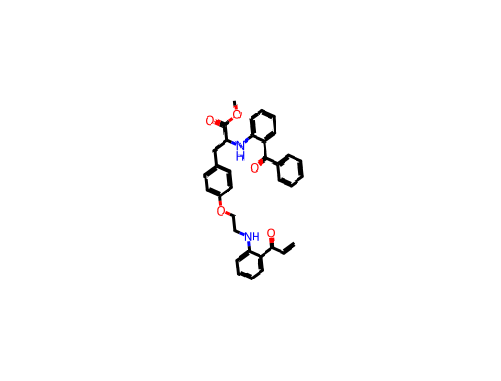 C=CC(=O)c1ccccc1NCCOc1ccc(CC(Nc2ccccc2C(=O)c2ccccc2)C(=O)OC)cc1